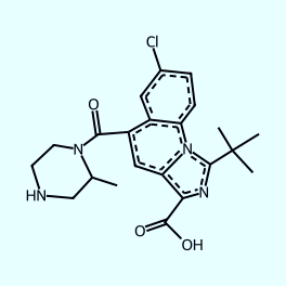 CC1CNCCN1C(=O)c1cc2c(C(=O)O)nc(C(C)(C)C)n2c2ccc(Cl)cc12